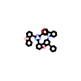 c1ccc(-c2nc(-c3cccc4oc5ccccc5c34)nc(-c3cccc4oc5c(-c6ccccc6)cc(-n6c7ccccc7c7ccccc76)cc5c34)n2)cc1